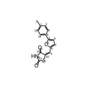 Cc1ccc(-c2ccc(C=C3SC(=O)NC3=O)o2)cc1